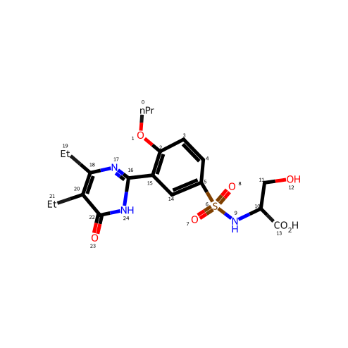 CCCOc1ccc(S(=O)(=O)NC(CO)C(=O)O)cc1-c1nc(CC)c(CC)c(=O)[nH]1